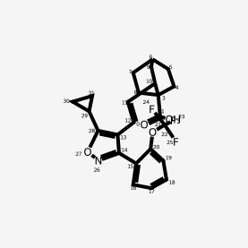 O=C(O)C12CCC(CC1)CC2C=Cc1c(-c2ccccc2OC(F)(F)F)noc1C1CC1